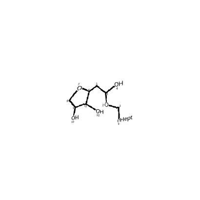 CCCCCCCCOC(O)CC1OCC(O)C1O